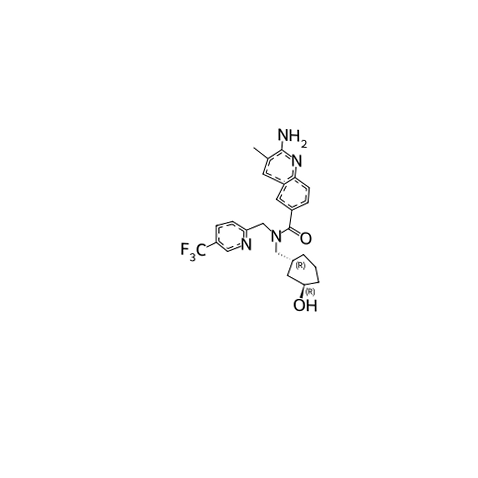 Cc1cc2cc(C(=O)N(Cc3ccc(C(F)(F)F)cn3)C[C@@H]3CCC[C@@H](O)C3)ccc2nc1N